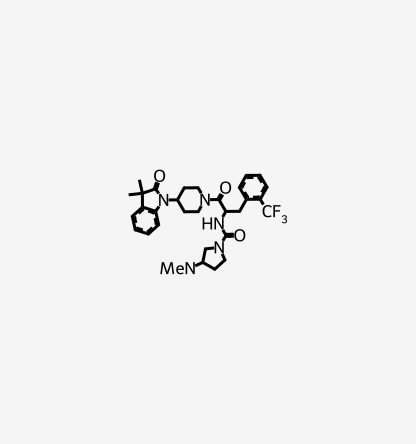 CNC1CCN(C(=O)NC(Cc2ccccc2C(F)(F)F)C(=O)N2CCC(N3C(=O)C(C)(C)c4ccccc43)CC2)C1